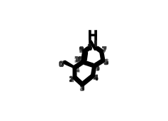 C[C@@H]1CCCC2CCNC=C21